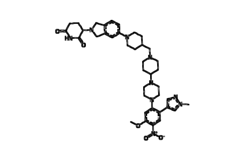 COc1cc(N2CCN(C3CCN(CC4CCN(c5ccc6c(c5)CN(C5CCC(=O)NC5=O)C6)CC4)CC3)CC2)c(-c2cnn(C)c2)cc1[N+](=O)[O-]